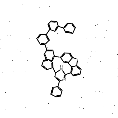 c1ccc(C2=NC(c3ccccc3)NC(c3cccc4sc5ccc(-c6cccc(-c7cccc(-c8cccc(-c9ccccc9)c8)c7)c6)cc5c34)=N2)cc1